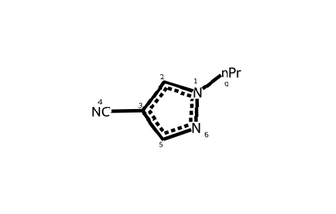 CCCn1cc(C#N)cn1